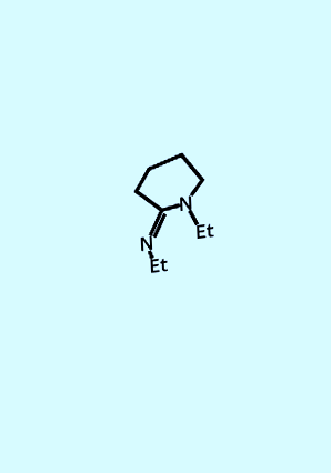 CC/N=C1/CCCCN1CC